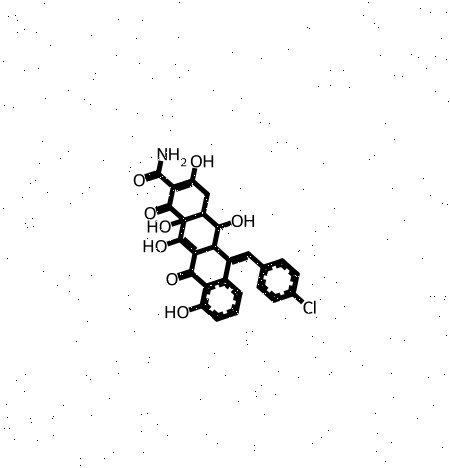 NC(=O)C1=C(O)CC2C(O)C3C(=C(O)C2(O)C1=O)C(=O)c1c(O)cccc1/C3=C\c1ccc(Cl)cc1